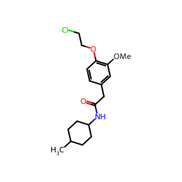 COc1cc(CC(=O)NC2CCC(C)CC2)ccc1OCCCl